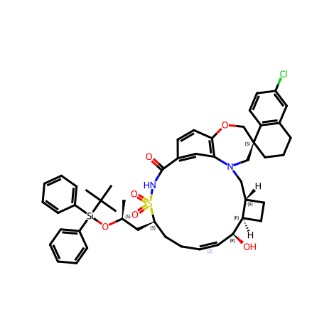 C[C@@H](C[C@@H]1CC/C=C\[C@H](O)[C@@H]2CC[C@H]2CN2C[C@@]3(CCCc4cc(Cl)ccc43)COc3ccc(cc32)C(=O)NS1(=O)=O)O[Si](c1ccccc1)(c1ccccc1)C(C)(C)C